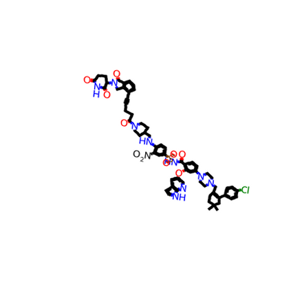 CC1(C)CCC(CN2CCN(c3ccc(C(=O)NS(=O)(=O)c4ccc(NCC5CCN(C(=O)CCC#Cc6cccc7c6CN(C6CCC(=O)NC6=O)C7=O)CC5)c([N+](=O)[O-])c4)c(Oc4cnc5[nH]ccc5c4)c3)CC2)=C(c2ccc(Cl)cc2)C1